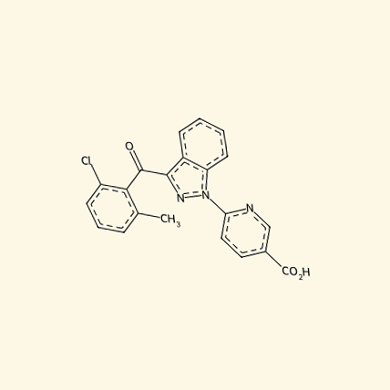 Cc1cccc(Cl)c1C(=O)c1nn(-c2ccc(C(=O)O)cn2)c2ccccc12